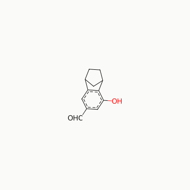 O=Cc1cc(O)c2c(c1)C1CCC2C1